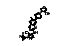 Cc1cc2cnc(Nc3cnn(C4CC4(F)F)c3Cl)nc2cc1C1CCN([C@@H]2COC[C@@H]2O)CC1